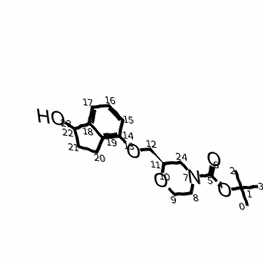 CC(C)(C)OC(=O)N1CCO[C@@H](COc2cccc3c2CCC3O)C1